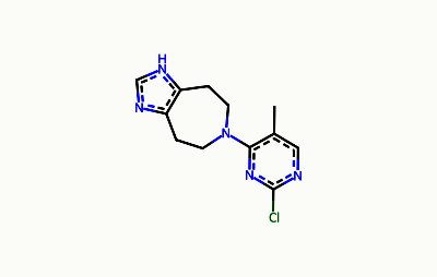 Cc1cnc(Cl)nc1N1CCc2nc[nH]c2CC1